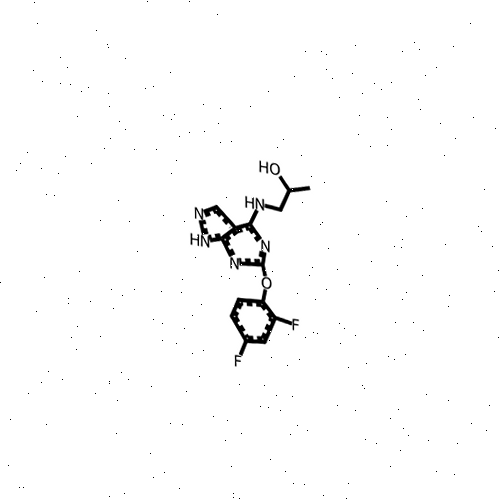 CC(O)CNc1nc(Oc2ccc(F)cc2F)nc2[nH]ncc12